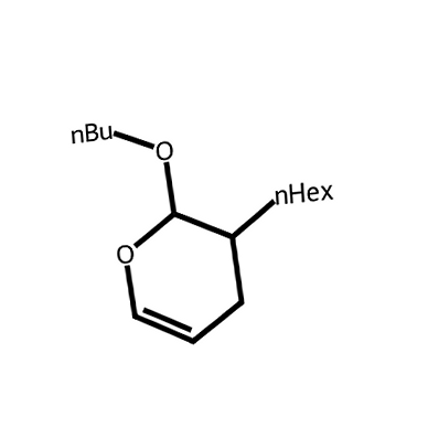 CCCCCCC1CC=COC1OCCCC